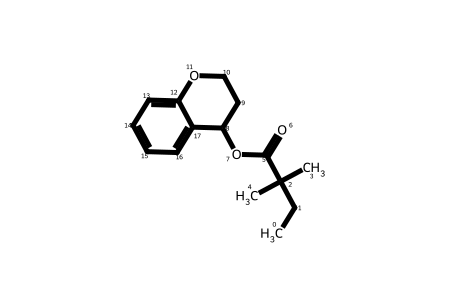 CCC(C)(C)C(=O)OC1CCOc2ccccc21